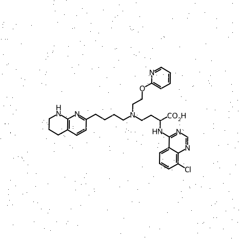 O=C(O)C(CCN(CCCCc1ccc2c(n1)NCCC2)CCOc1ccccn1)Nc1ncnc2c(Cl)cccc12